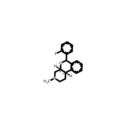 CN1CC[C@H]2c3ccccc3C(c3ccccc3F)O[C@H]2C1